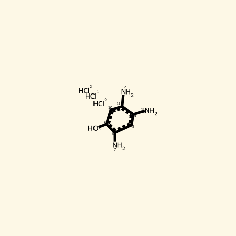 Cl.Cl.Cl.Nc1cc(N)c(O)cc1N